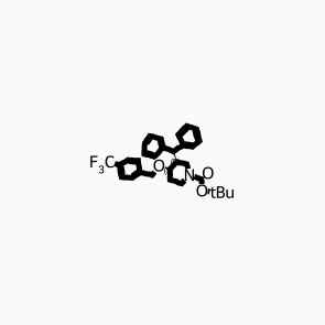 CC(C)(C)OC(=O)N1CC[C@H](OCc2ccc(C(F)(F)F)cc2)[C@H](C(c2ccccc2)c2ccccc2)C1